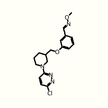 CON=Cc1cccc(OCC2CCCN(c3ccc(Cl)nn3)C2)c1